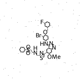 COc1cc2ncnc(Nc3ccc(OCc4cccc(F)c4)c(Br)c3)c2cc1-c1csc(CNCCS(=O)(=O)c2ccccc2)n1